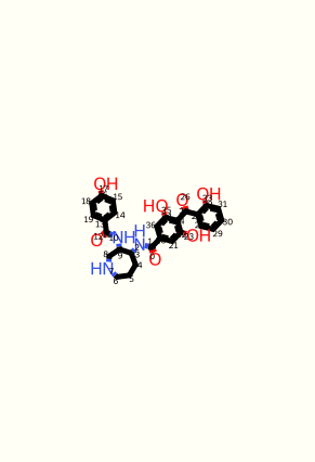 O=C(NC1CCCNCC1NC(=O)c1ccc(O)cc1)c1cc(O)c(C(=O)c2ccccc2O)c(O)c1